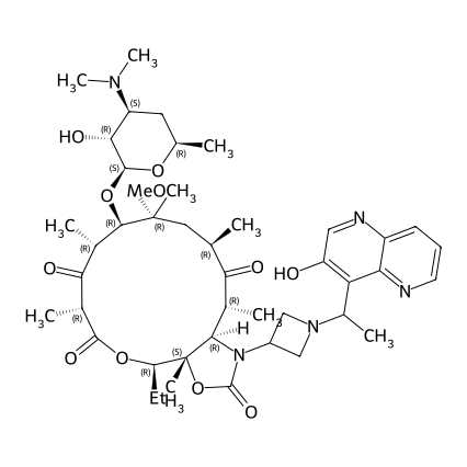 CC[C@H]1OC(=O)[C@H](C)C(=O)[C@H](C)[C@@H](O[C@@H]2O[C@H](C)C[C@H](N(C)C)[C@H]2O)[C@](C)(OC)C[C@@H](C)C(=O)[C@H](C)[C@H]2N(C3CN(C(C)c4c(O)cnc5cccnc45)C3)C(=O)O[C@]12C